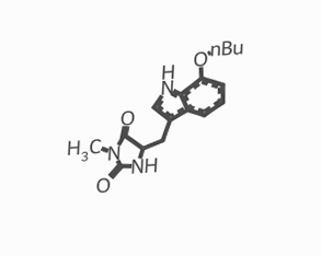 CCCCOc1cccc2c(CC3NC(=O)N(C)C3=O)c[nH]c12